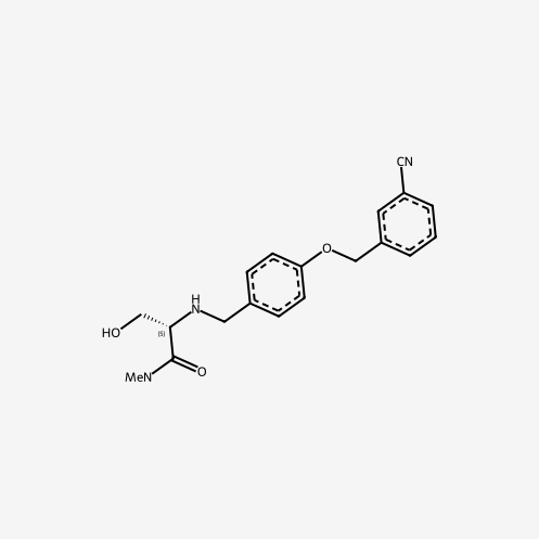 CNC(=O)[C@H](CO)NCc1ccc(OCc2cccc(C#N)c2)cc1